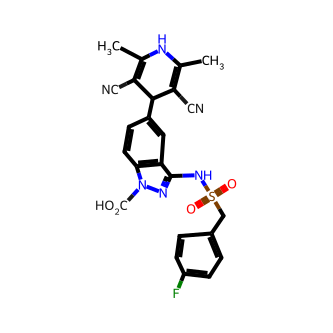 CC1=C(C#N)C(c2ccc3c(c2)c(NS(=O)(=O)Cc2ccc(F)cc2)nn3C(=O)O)C(C#N)=C(C)N1